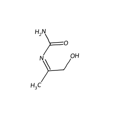 CC(CO)=NC(N)=O